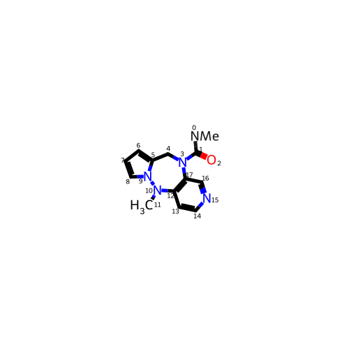 CNC(=O)N1Cc2cccn2N(C)c2ccncc21